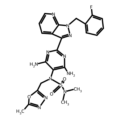 Cc1nnc(CN(c2c(N)nc(-c3nn(Cc4ccccc4F)c4ncccc34)nc2N)S(=O)(=O)N(C)C)o1